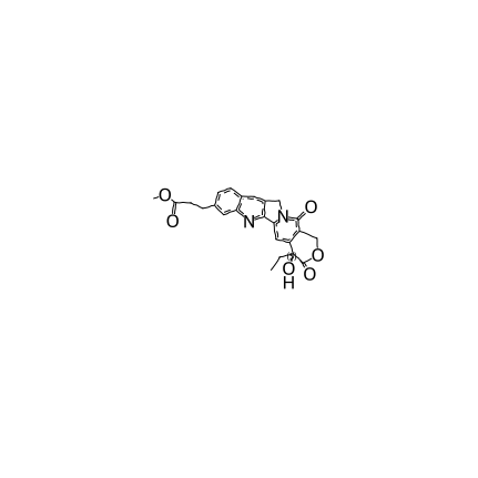 CC[C@@]1(O)C(=O)OCc2c1cc1n(c2=O)Cc2cc3ccc(CCC(=O)OC)cc3nc2-1